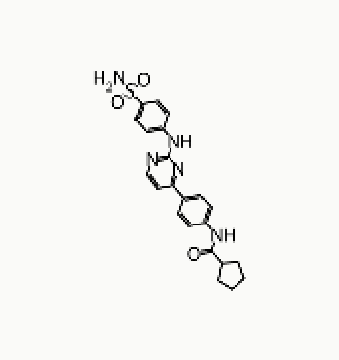 NS(=O)(=O)c1ccc(Nc2nccc(-c3ccc(NC(=O)C4CCCC4)cc3)n2)cc1